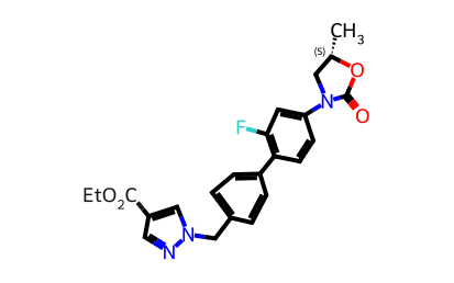 CCOC(=O)c1cnn(Cc2ccc(-c3ccc(N4C[C@H](C)OC4=O)cc3F)cc2)c1